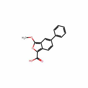 COc1oc(C(=O)O)c2ccc(-c3ccccc3)cc12